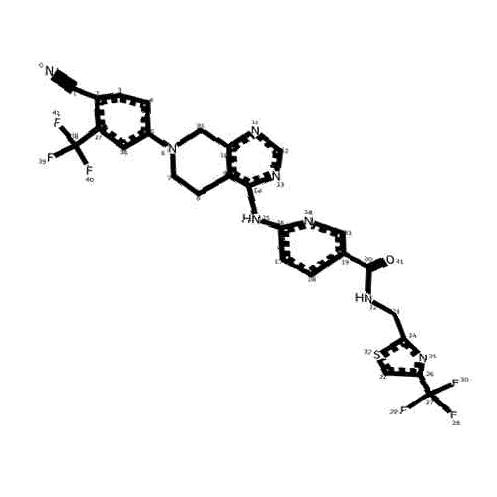 N#Cc1ccc(N2CCc3c(ncnc3Nc3ccc(C(=O)NCc4nc(C(F)(F)F)cs4)cn3)C2)cc1C(F)(F)F